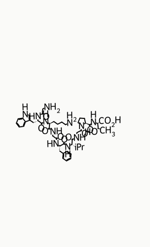 CC(C)[C@H](NC(=O)[C@H](Cc1ccccc1)NC(=O)CNC(=O)[C@H](CCCCN)NC(=O)[C@H](Cc1c[nH]c2ccccc12)NC(=O)CN)C(=O)NCC(=O)N1CCC[C@H]1C(=O)N[C@H](C(=O)O)[C@@H](C)O